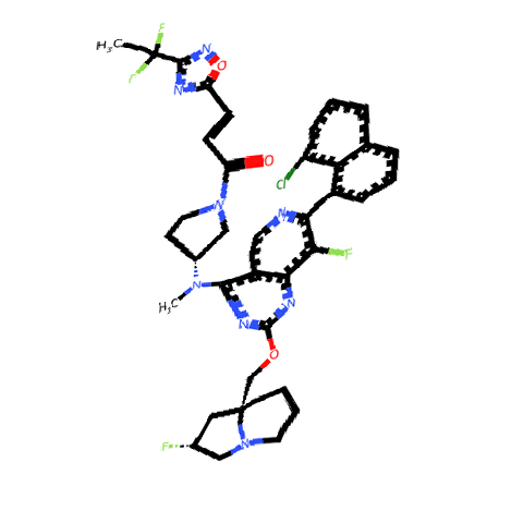 CN(c1nc(OC[C@@]23CCCN2C[C@H](F)C3)nc2c(F)c(-c3cccc4cccc(Cl)c34)ncc12)[C@@H]1CCN(C(=O)/C=C/c2nc(C(C)(F)F)no2)C1